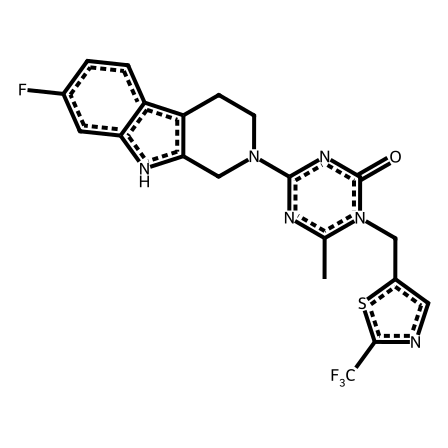 Cc1nc(N2CCc3c([nH]c4cc(F)ccc34)C2)nc(=O)n1Cc1cnc(C(F)(F)F)s1